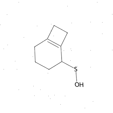 OSC1CCCC2=C1CC2